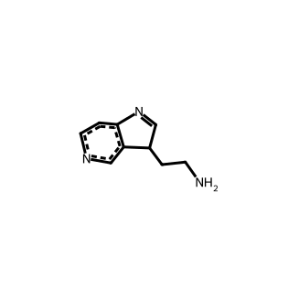 NCCC1C=Nc2ccncc21